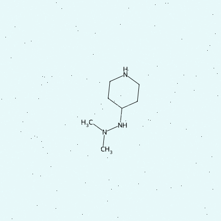 CN(C)NC1CCNCC1